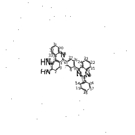 N=C1C=Cc2c(-c3ccc(-c4nc(-c5ccccc5)nc5ccccc45)cc3)nc3ccccc3c2C1=N